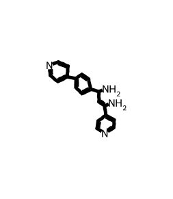 N/C(=C\C(N)c1ccc(-c2ccncc2)cc1)c1ccncc1